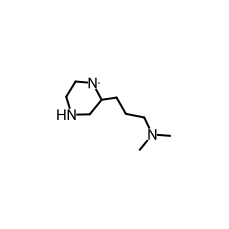 CN(C)CCCC1CNCC[N]1